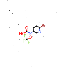 O=C(O)N(OC(F)(F)F)c1ccc(Br)nc1